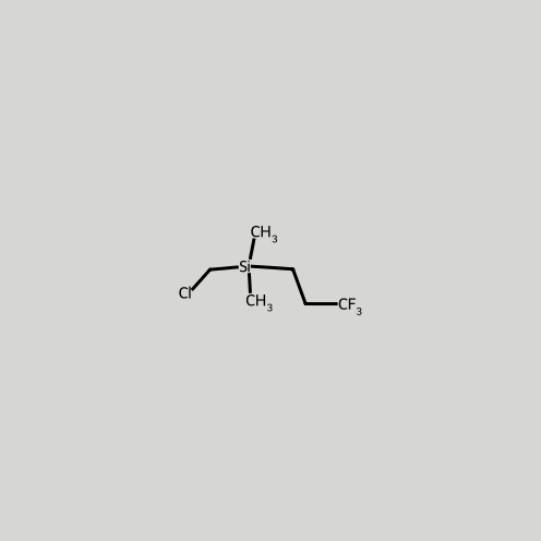 C[Si](C)(CCl)CCC(F)(F)F